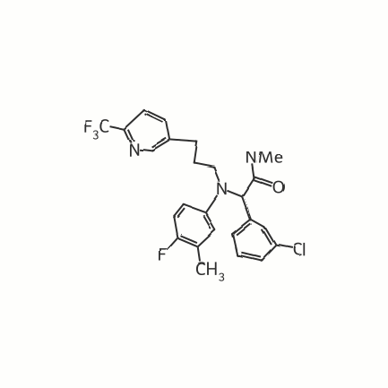 CNC(=O)C(c1cccc(Cl)c1)N(CCCc1ccc(C(F)(F)F)nc1)c1ccc(F)c(C)c1